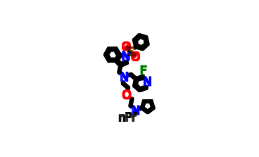 CCCN(CCOCCN(Cc1cccnc1F)Cc1cn(S(=O)(=O)c2ccccc2)c2ccccc12)C1CCCC1